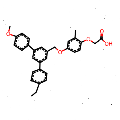 CCc1ccc(-c2cc(COc3ccc(OCC(=O)O)c(C)c3)cc(-c3ccc(OC)cc3)c2)cc1